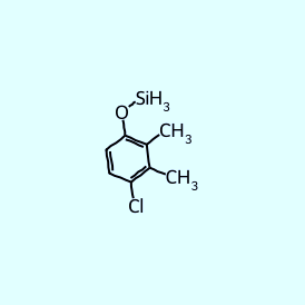 Cc1c(Cl)ccc(O[SiH3])c1C